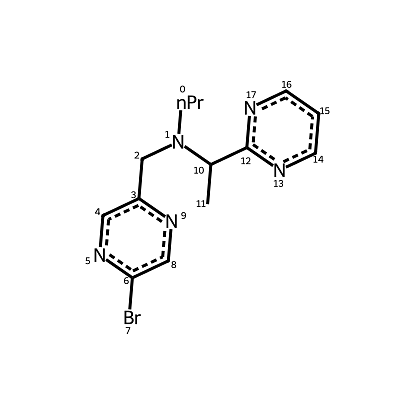 CCCN(Cc1cnc(Br)cn1)C(C)c1ncccn1